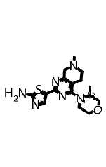 C[C@H]1COCCN1c1nc(-c2cnc(N)s2)nc2c1CCN(C)C2